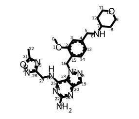 COc1cc(CNC2CCOCC2)ccc1Cn1ncc2nc(N)nc(NCc3noc(C)n3)c21